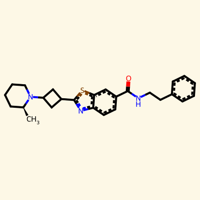 C[C@H]1CCCCN1C1CC(c2nc3ccc(C(=O)NCCc4ccccc4)cc3s2)C1